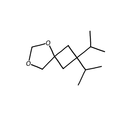 CC(C)C1(C(C)C)CC2(COCO2)C1